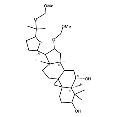 COCOC1C[C@@]2(C)C3C[C@H](O)[C@H]4C(C)(C)C(O)CCC45CC35CCC2(C)C1[C@@]1(C)CCC(C(C)(C)OCOC)O1